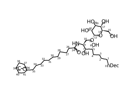 CCCCCCCCCCCCCC[C@@H](O)[C@@H](O)[C@H](CO[C@H]1O[C@H](CO)[C@H](O)[C@H](O)[C@H]1O)NC(=O)CCCCCCCCCCC12CCC(CC1)CC2